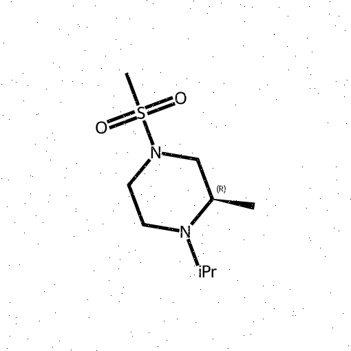 CC(C)N1CCN(S(C)(=O)=O)C[C@H]1C